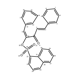 O=C(C=Cc1ccccc1)C(=Cc1ccccc1)OS(=O)(=O)c1cccc2ccccc12